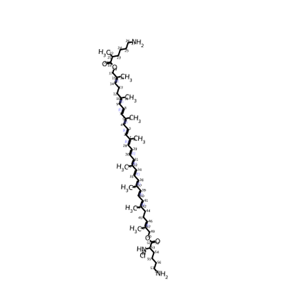 CC(/C=C/C=C(C)/C=C/C=C(\C)CC/C=C(\C)COC(=O)C(C)CCCCN)=C\C=C\C=C(C)\C=C\C=C(C)\C=C\C=C(/C)CC/C=C(\C)COC(=O)C(CCCCN)NCl